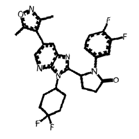 Cc1noc(C)c1-c1cnc2c(c1)nc(C1CCC(=O)N1c1ccc(F)c(F)c1)n2C1CCC(F)(F)CC1